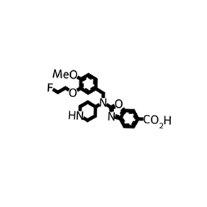 COc1ccc(CN(c2nc3ccc(C(=O)O)cc3o2)C2CCNCC2)cc1OCCF